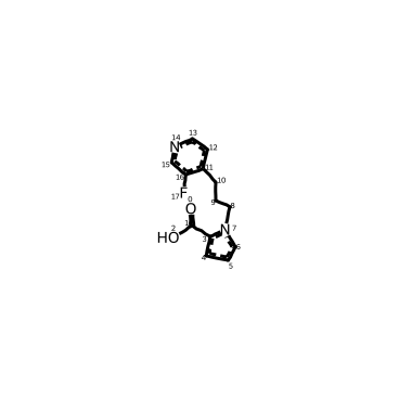 O=C(O)c1cccn1CCCc1ccncc1F